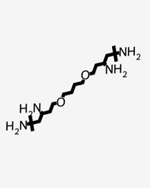 CC(C)(N)CC(N)CCOCCCCOCCC(N)CC(C)(C)N